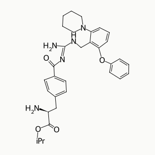 CC(C)OC(=O)[C@@H](N)Cc1ccc(C(=O)/N=C(\N)NCc2c(Oc3ccccc3)cccc2N2CCCCC2)cc1